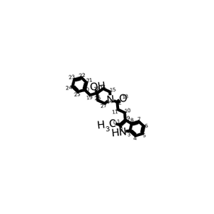 Cc1[nH]c2ccccc2c1CCC(=O)N1CCC(O)(Cc2ccccc2)CC1